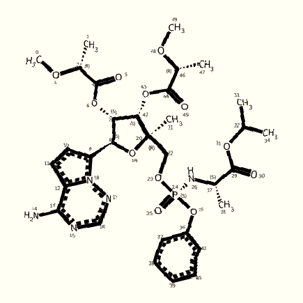 CO[C@H](C)C(=O)O[C@H]1[C@H](c2ccc3c(N)ncnn23)O[C@](C)(CO[P@@](=O)(N[C@@H](C)C(=O)OC(C)C)Oc2ccccc2)[C@H]1OC(=O)[C@@H](C)OC